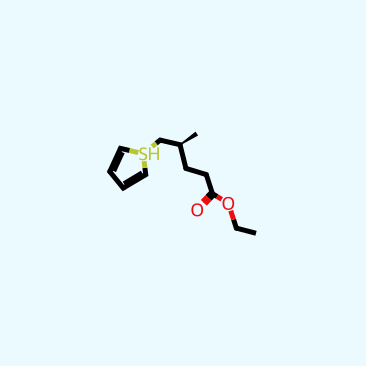 CCOC(=O)CC[C@H](C)C[SH]1C=CC=C1